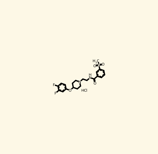 CS(=O)(=O)c1cccc(C(=O)NCCN2CCC(Oc3ccc(F)c(F)c3)CC2)c1.Cl